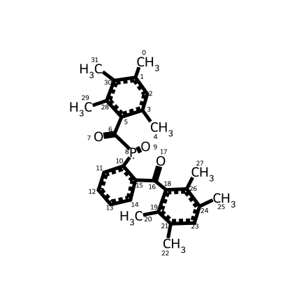 Cc1cc(C)c(C(=O)[P](=O)c2ccccc2C(=O)c2c(C)c(C)cc(C)c2C)c(C)c1C